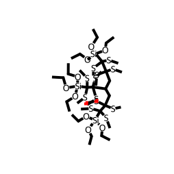 CCO[Si](OCC)(OCC)C(SC)(SC)C(CC(CC(SC)(SC)C(SC)(SC)[Si](OCC)(OCC)OCC)C(SC)(SC)C(SC)(SC)[Si](OCC)(OCC)OCC)(SC)SC